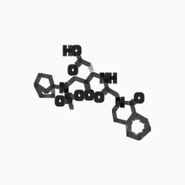 CS(=O)(=O)N(CC(=O)[C@H](CC(=O)O)NC(=O)CN1CCc2ccccc2C1=O)C12CCC(CC1)C2